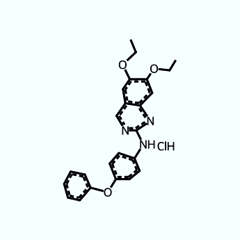 CCOc1cc2cnc(Nc3ccc(Oc4ccccc4)cc3)nc2cc1OCC.Cl